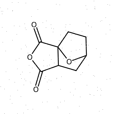 O=C1OC(=O)C23CCC(CC12)O3